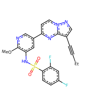 CCC#Cc1cnn2ccc(-c3cnc(OC)c(NS(=O)(=O)c4ccc(F)cc4F)c3)nc12